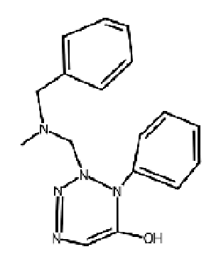 CN(Cc1ccccc1)CN1N=NC=C(O)N1c1ccccc1